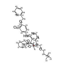 CC(C)(C)OC(=O)N1C2CCC1CC(c1cn(COCC[Si](C)(C)C)c3ncnc(Nc4ccc(OCc5ccccn5)c(Cl)c4)c13)C2